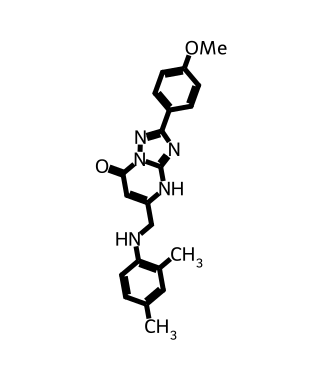 COc1ccc(-c2nc3[nH]c(CNc4ccc(C)cc4C)cc(=O)n3n2)cc1